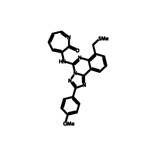 COc1ccc(-c2nc3c4cccc(CSC)c4nc(Nc4ccccnc4=O)n3n2)cc1